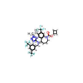 Cc1cc2c(cc1C(F)(F)F)N(C(=O)OC1CCC1)CCC[C@@H]2N(Cc1cc(C(F)(F)F)cc(C(F)(F)F)c1)c1nnn(C)n1